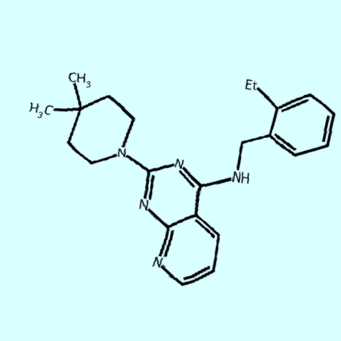 CCc1ccccc1CNc1nc(N2CCC(C)(C)CC2)nc2ncccc12